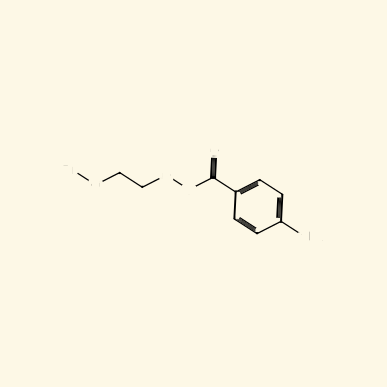 CCCCc1ccc(C(=O)OO[CH]COCC)cc1